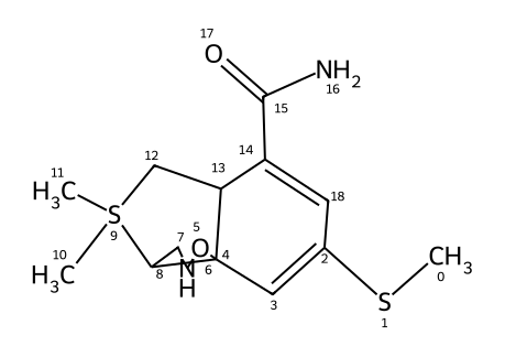 CSC1=CC23ONCC2S(C)(C)CC3C(C(N)=O)=C1